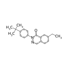 CCc1ccc2cnn(-c3ccc(C(C)(C)C)cc3)c(=O)c2c1